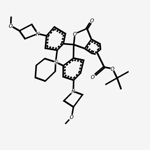 COC1CN(c2ccc3c(c2)[Si]2(CCCCC2)c2cc(N4CC(OC)C4)ccc2C32OC(=O)c3ccc(C(=O)OC(C)(C)C)cc32)C1